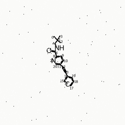 CC(C)(C)CNC(=O)c1ccc(C#Cc2ccccc2)cn1